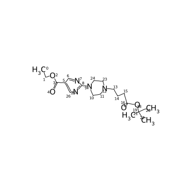 CCOC(=O)c1cnc(N2CCN(CCCC(=O)OC(C)(C)C)CC2)nc1